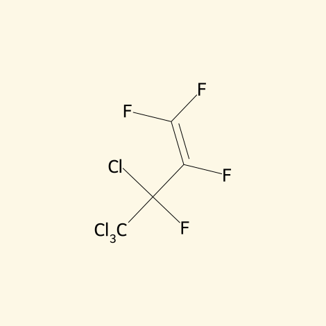 FC(F)=C(F)C(F)(Cl)C(Cl)(Cl)Cl